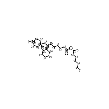 CCCCCCC(C)OC(=O)CCCCCN(CC1(O)CCNCC1)C1CCCCC1